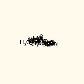 CC(C)(C)OC(=O)N1CCC2(CC1)NC(=O)N(CCS(=O)(=O)c1ccc3cc(Cl)ccc3c1)C2=O